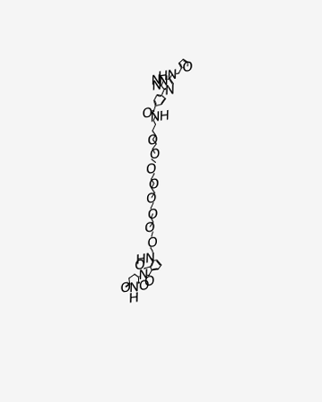 O=C1CCC(N2C(=O)c3cccc(NCCOCCOCCOCCOCCOCCOCCOCCOCCCCNC(=O)c4ccc(-c5ncc(NCc6ccco6)n6cnnc56)cc4)c3C2=O)C(=O)N1